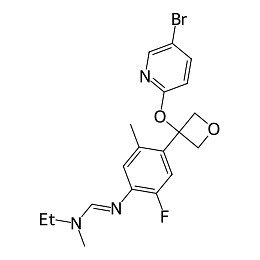 CCN(C)C=Nc1cc(C)c(C2(Oc3ccc(Br)cn3)COC2)cc1F